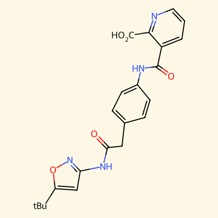 CC(C)(C)c1cc(NC(=O)Cc2ccc(NC(=O)c3cccnc3C(=O)O)cc2)no1